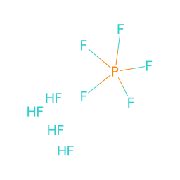 F.F.F.F.FP(F)(F)(F)F